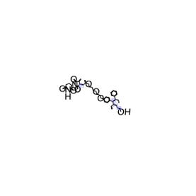 C=CC(=C\C=C\O)/C(=C(\CC)c1ccccc1)c1ccc(OCCOCCCOC(=C)/C=C2\C(=C)C(=O)N(C3CCC(=O)NC3=O)C2=O)cc1